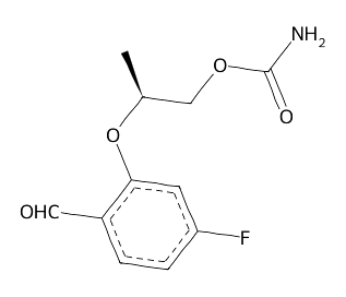 C[C@@H](COC(N)=O)Oc1cc(F)ccc1C=O